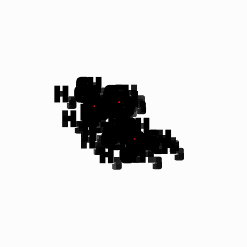 CC(C)CC12CC3CC(CC(C)C)(C1)CC(c1cc(C(C)(C)C)cc(CS[C@H]4CCCCCC[C@@H]4SCc4cc(C(C)(C)C)cc(C56CC7CC(CC(C)C)(CC(CC(C)C)(C7)C5)C6)c4O)c1O)(C3)C2